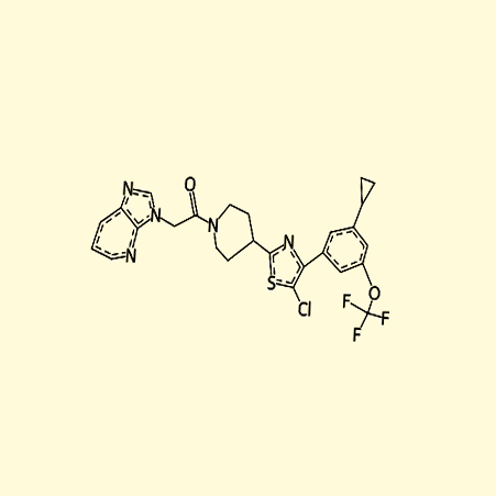 O=C(Cn1cnc2cccnc21)N1CCC(c2nc(-c3cc(OC(F)(F)F)cc(C4CC4)c3)c(Cl)s2)CC1